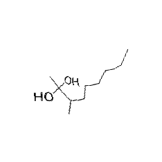 CCCCCCC(C)C(C)(O)O